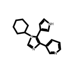 c1cncc(-c2ncn(C3CCCCC3)c2-c2cc[nH]c2)c1